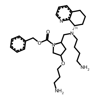 NCCCCN(CC1CC(OCCCN)CN1C(=O)OCc1ccccc1)[C@H]1CCCc2cccnc21